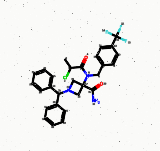 CC(Cl)C(=O)N(Cc1ccc(C(F)(F)F)cc1)C1(C(N)=O)CN(C(c2ccccc2)c2ccccc2)C1